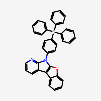 c1ccc([Si](c2ccccc2)(c2ccccc2)c2ccc(-n3c4ncccc4c4c5ccccc5oc43)cc2)cc1